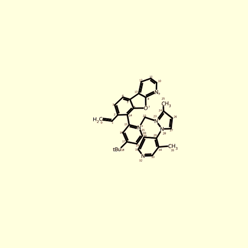 C=Cc1ccc2c(oc3ncccc32)c1-c1cc(C(C)(C)C)cc[n+]1C[n+]1c(C)ccn1-c1ccncc1C